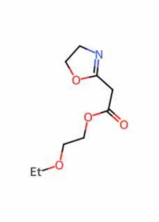 CCOCCOC(=O)CC1=NCCO1